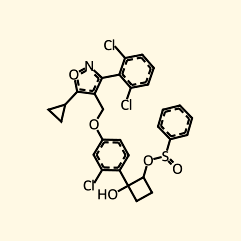 O=S(OC1CCC1(O)c1ccc(OCc2c(-c3c(Cl)cccc3Cl)noc2C2CC2)cc1Cl)c1ccccc1